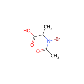 CC(=O)N(Br)C(C)C(=O)O